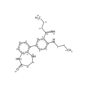 CCCNc1ccc(-c2cccc3c2NCCC(=O)N3)cc1C(=N)CCC